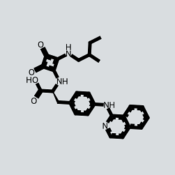 CCC(C)CNc1c(N[C@@H](Cc2ccc(Nc3nccc4ccccc34)cc2)C(=O)O)c(=O)c1=O